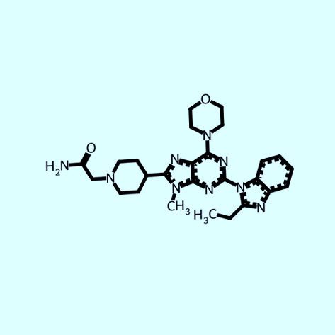 CCc1nc2ccccc2n1-c1nc(N2CCOCC2)c2nc(C3CCN(CC(N)=O)CC3)n(C)c2n1